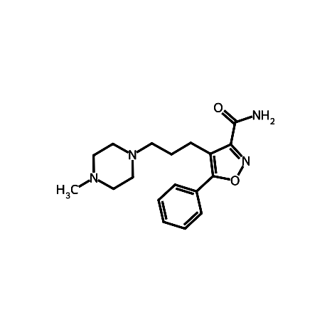 CN1CCN(CCCc2c(C(N)=O)noc2-c2ccccc2)CC1